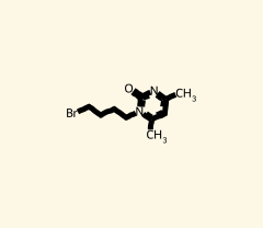 Cc1cc(C)n(CCCCBr)c(=O)n1